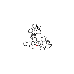 CN1c2ccccc2C(c2ccccc2)(c2ccccc2)c2c(-c3cccc4c(-c5cc6ccccc6c6ccccc56)c5cccc(-c6cccc7c6C(c6ccccc6)(c6ccccc6)c6ccccc6N7C)c5cc34)cccc21